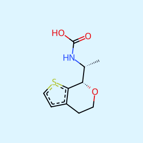 C[C@@H](NC(=O)O)[C@@H]1OCCc2ccsc21